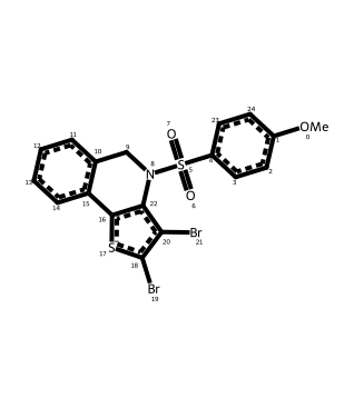 COc1ccc(S(=O)(=O)N2Cc3ccccc3-c3sc(Br)c(Br)c32)cc1